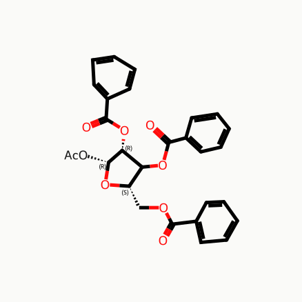 CC(=O)O[C@H]1O[C@@H](COC(=O)c2ccccc2)C(OC(=O)c2ccccc2)[C@H]1OC(=O)c1ccccc1